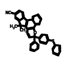 CC1(C)c2cc(C#N)ccc2-c2c1c1c(c3ccccc23)OC(c2ccccc2)(c2ccc(Sc3ccccc3)cc2)C=C1